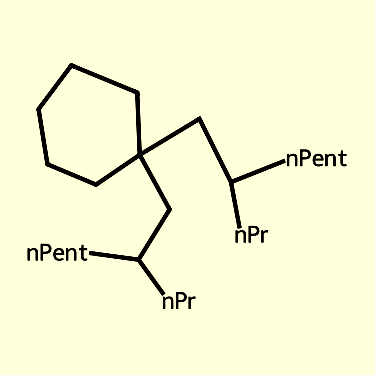 CCCCCC(CCC)CC1(CC(CCC)CCCCC)CCCCC1